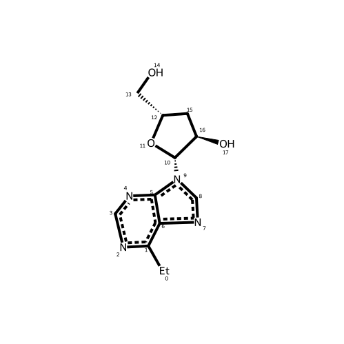 CCc1ncnc2c1ncn2[C@@H]1O[C@H](CO)C[C@H]1O